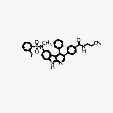 CN(c1ccc2[nH]c3ncc(-c4ccc(C(=O)NCCC#N)cc4)c(-c4ccccc4)c3c2c1)S(=O)(=O)c1ccccc1F